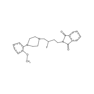 COc1ccccc1N1CCN(CC(F)CCN2C(=O)c3ccccc3C2=O)CC1